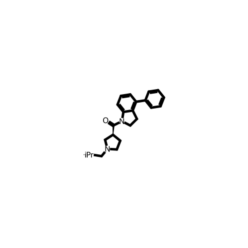 C[C](C)CN1CC[C@H](C(=O)N2CCc3c(-c4ccccc4)cccc32)C1